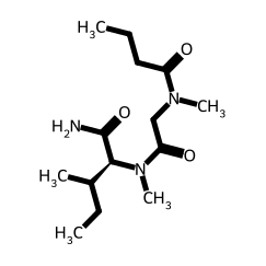 CCCC(=O)N(C)CC(=O)N(C)[C@H](C(N)=O)C(C)CC